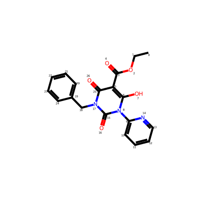 CCOC(=O)c1c(O)n(-c2ccccn2)c(=O)n(Cc2ccccc2)c1=O